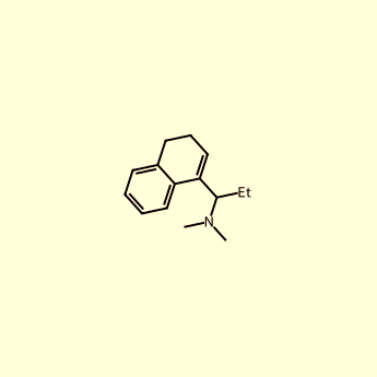 CCC(C1=CCCc2ccccc21)N(C)C